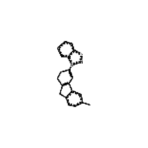 Cc1ccc2c(c1)C1=C(CCC(n3nnc4ccccc43)=C1)C2